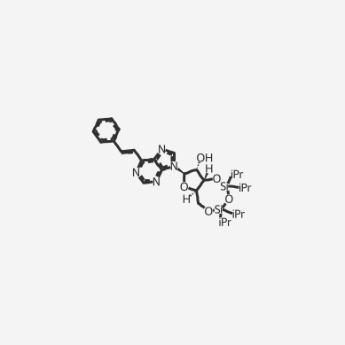 CC(C)[Si]1(C(C)C)OC[C@H]2O[C@@H](n3cnc4c(/C=C/c5ccccc5)ncnc43)[C@H](O)[C@@H]2O[Si](C(C)C)(C(C)C)O1